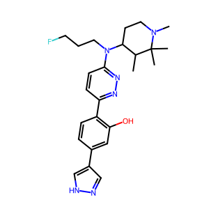 CC1C(N(CCCF)c2ccc(-c3ccc(-c4cn[nH]c4)cc3O)nn2)CCN(C)C1(C)C